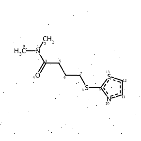 CN(C)C(=O)CCCSc1nccs1